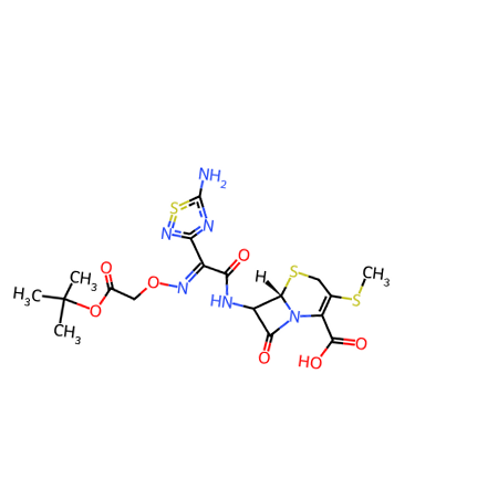 CSC1=C(C(=O)O)N2C(=O)C(NC(=O)C(=NOCC(=O)OC(C)(C)C)c3nsc(N)n3)[C@@H]2SC1